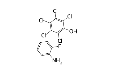 Nc1ccccc1F.Oc1c(Cl)c(Cl)c(Cl)c(Cl)c1Cl